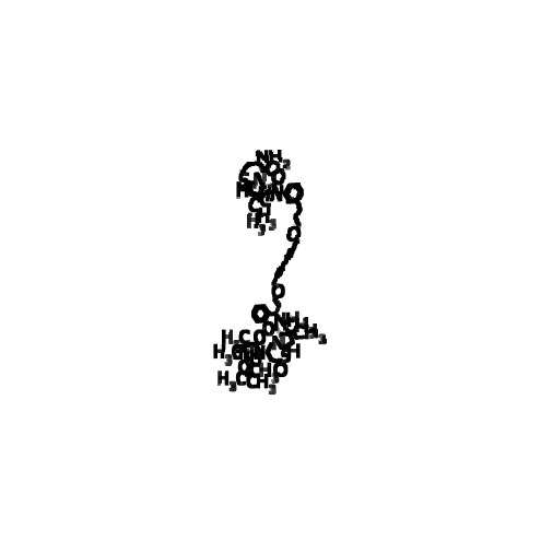 C[C@@H](C(=O)N[C@H]1CC(=O)S[C@H]2CC(C)(C)[C@@H](C(=O)N[C@H](CCOCC#CC#CCOCCCc3cccc(NC(=O)[C@H]4N5C(=O)[C@@H](N)CCS[C@H]5CC4(C)C)c3)c3ccccc3)N2C1)N(C)C(=O)OC(C)(C)C